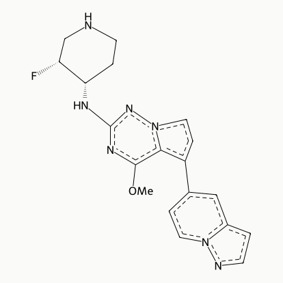 COc1nc(N[C@H]2CCNC[C@H]2F)nn2ccc(-c3ccn4nccc4c3)c12